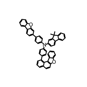 CC1(C)c2ccccc2-c2ccc(N(c3ccc(-c4ccc5c(c4)oc4ccccc45)cc3)c3ccc(-c4cccc5ccc6oc7ccccc7c6c45)cc3)cc21